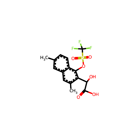 Cc1ccc2c(OS(=O)(=O)C(F)(F)F)c(C(O)C(=O)O)c(C)cc2c1